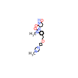 CN1CCN(C2CC(OCCc3ccc4c(c3)n(C)c(=O)n4C3CCC(=O)NC3=O)C2)CC1